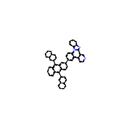 c1ccc2cc(-c3c4ccccc4c(-c4ccc5ccccc5c4)c4cc(-c5ccc6c(c5)c5ccncc5c5nc7ccccc7n65)ccc34)ccc2c1